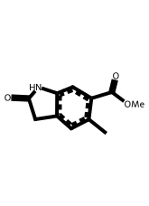 COC(=O)c1cc2c(cc1C)CC(=O)N2